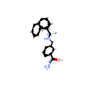 C[C@H](NCc1cccc(C(N)=O)c1)c1cccc2ccccc12